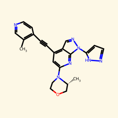 Cc1cnccc1C#Cc1cc(N2CCOC[C@H]2C)nc2c1cnn2-c1ccn[nH]1